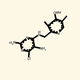 COc1c(C)cnc(CNc2nc(N)nc(Cl)c2N)c1C